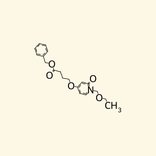 CCOCn1ccc(OCCCC(=O)OCc2ccccc2)cc1=O